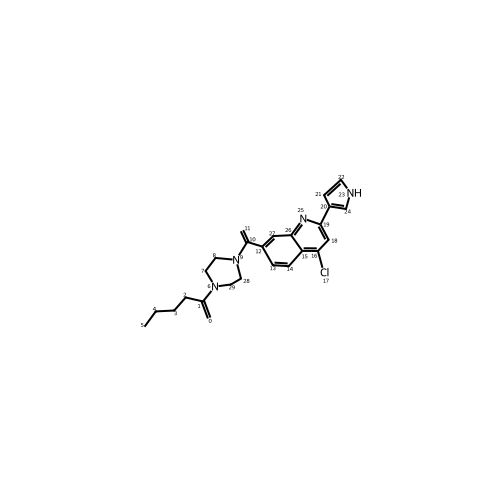 C=C(CCCC)N1CCN(C(=C)c2ccc3c(Cl)cc(-c4cc[nH]c4)nc3c2)CC1